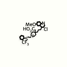 COc1ccc2ncc(Cl)c(CCCC3(CC(=O)O)CCN(CCSc4ccccc4C(F)(F)F)CC3)c2c1